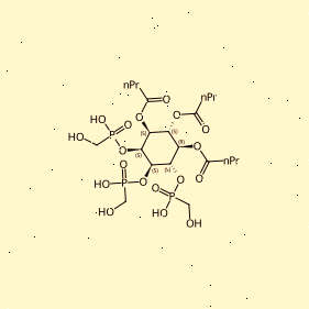 CCCC(=O)O[C@@H]1[C@@H](OC(=O)CCC)[C@H](OP(=O)(O)CO)[C@@H](OP(=O)(O)CO)[C@@H](OP(=O)(O)CO)[C@H]1OC(=O)CCC